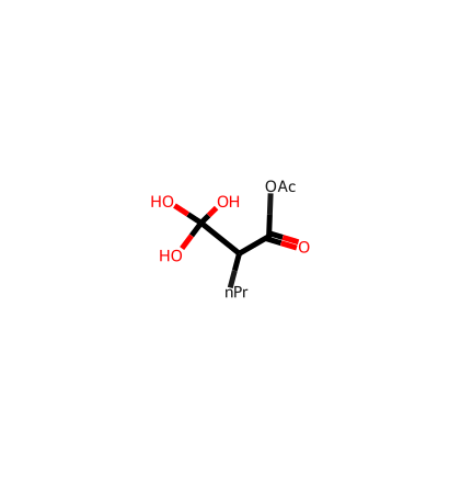 CCCC(C(=O)OC(C)=O)C(O)(O)O